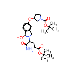 CC(C)(C)OC(=O)CCC(C(N)=O)N1Cc2cc(O[C@H]3CCN(C(=O)OC(C)(C)C)C3)ccc2C1O